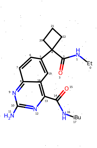 CCNC(=O)C1(c2ccc3nc(N)nc(C(=O)NC(C)CC)c3c2)CCC1